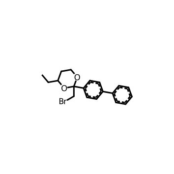 CCC1CCOC(CBr)(c2ccc(-c3ccccc3)cc2)O1